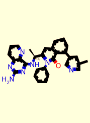 Cc1cncc(-c2cccc3cc([C@H](C)Nc4nc(N)nc5cccnc45)n(-c4ccccc4)c(=O)c23)c1